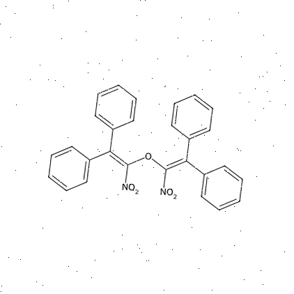 O=[N+]([O-])C(OC(=C(c1ccccc1)c1ccccc1)[N+](=O)[O-])=C(c1ccccc1)c1ccccc1